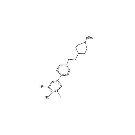 CCCCCCCCCCC1CCC(CCc2ccc(-c3cc(F)c(C#N)c(F)c3)cc2)CC1